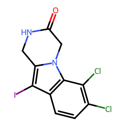 O=C1Cn2c(c(I)c3ccc(Cl)c(Cl)c32)CN1